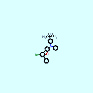 CC(C)(C)c1ccc(N(c2ccccc2)c2ccc3c(c2)oc2c(-c4ccccc4)cc(Br)cc23)cc1